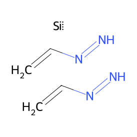 C=CN=N.C=CN=N.[Si]